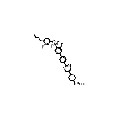 C=CCCc1ccc(OC(F)(F)c2ccc(-c3ccc(-c4ncc(C5CCC(CCCCC)CC5)cn4)cc3)cc2F)cc1F